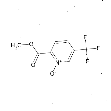 COC(=O)c1ccc(C(F)(F)F)c[n+]1[O-]